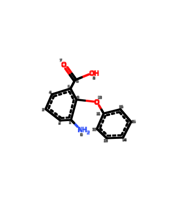 Nc1cccc(C(=O)O)c1Oc1ccccc1